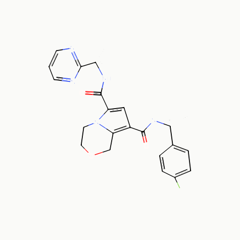 C[C@H](NC(=O)c1cc(C(=O)N[C@H](C)c2ccc(F)cc2)c2n1CCOC2)c1ncccn1